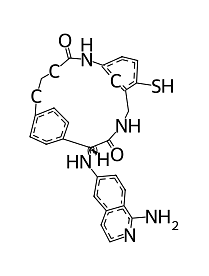 Nc1nccc2cc(N[C@H]3C(=O)NCc4cc(ccc4S)NC(=O)CCCc4ccc3cc4)ccc12